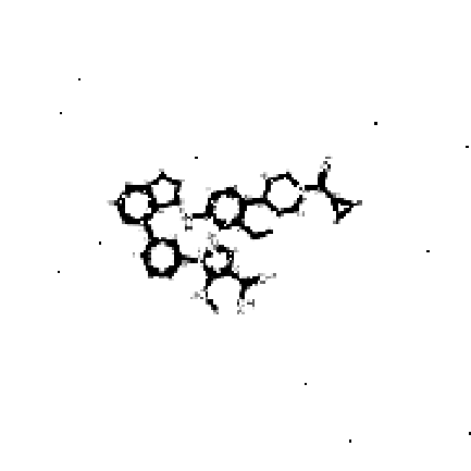 CCc1cc(N[C@H]2CCc3cccc(-c4cccc(-n5ncc(C(=O)O)c5OC)c4)c32)ccc1C1CCN(C(=O)C2CC2)CC1